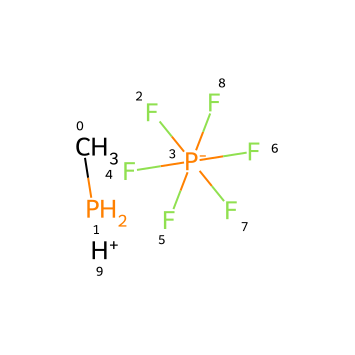 CP.F[P-](F)(F)(F)(F)F.[H+]